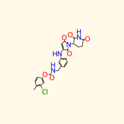 Cc1ccc(OC(=O)NCc2cccc(NC3=CC(=O)N(C4CCC(=O)NC4=O)C3=O)c2)cc1Cl